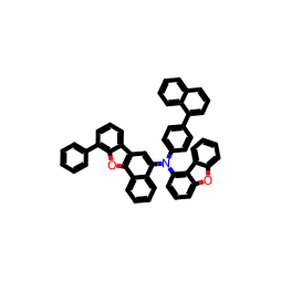 c1ccc(-c2cccc3c2oc2c4ccccc4c(N(c4ccc(-c5cccc6ccccc56)cc4)c4cccc5oc6ccccc6c45)cc32)cc1